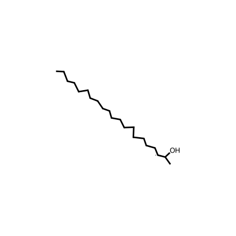 CCCCCCCCCCCCCCCCCC[CH]C(C)O